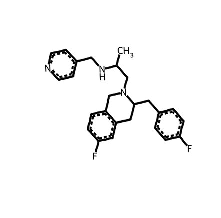 CC(CN1Cc2ccc(F)cc2CC1Cc1ccc(F)cc1)NCc1ccncc1